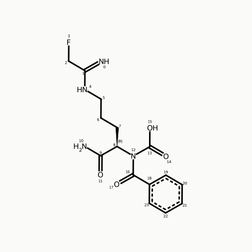 N=C(CF)NCCC[C@H](C(N)=O)N(C(=O)O)C(=O)c1ccccc1